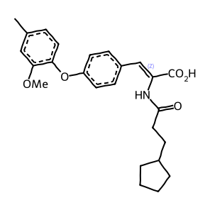 COc1cc(C)ccc1Oc1ccc(/C=C(\NC(=O)CCC2CCCC2)C(=O)O)cc1